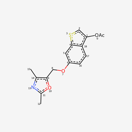 CC(=O)Oc1csc2cc(OCc3oc(C)nc3C)ccc12